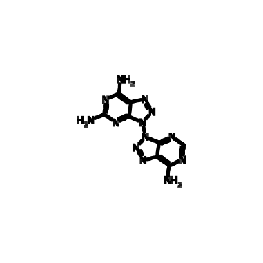 Nc1nc(N)c2nnn(-n3nnc4c(N)ncnc43)c2n1